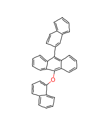 c1ccc2cc(-c3c4ccccc4c(Oc4cccc5ccccc45)c4ccccc34)ccc2c1